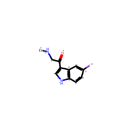 CCNCC(=O)c1c[nH]c2ccc(I)cc12